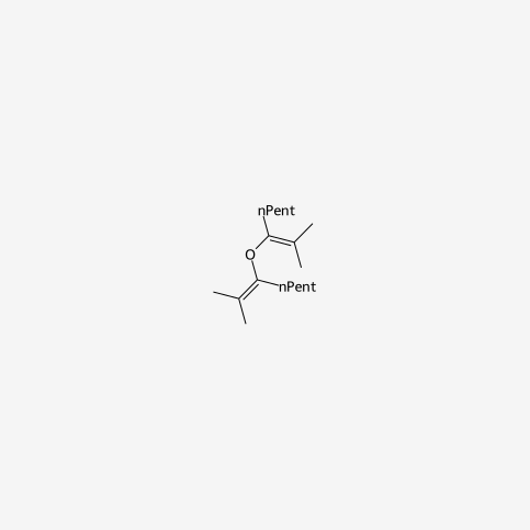 CCCCCC(OC(CCCCC)=C(C)C)=C(C)C